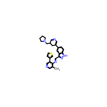 Cc1cncc(-c2ccsc2)c1/N=C/c1n[nH]c2ccc(C3=CN=CC(CN4CCCC4)C3)cc12